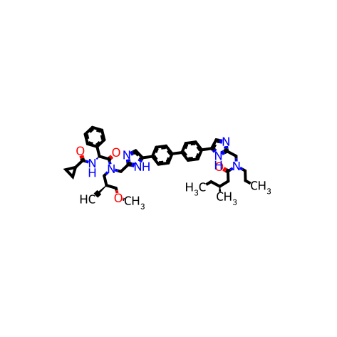 C#C[C@H](COC)CN(Cc1ncc(-c2ccc(-c3ccc(-c4cnc(CN(CCC)C(=O)C[C@@H](C)CC)[nH]4)cc3)cc2)[nH]1)C(=O)[C@H](NC(=O)C1CC1)c1ccccc1